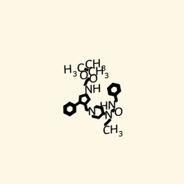 CCCN(C(=O)NCc1ccccc1)C1CCN(CC2CC(NCC(=O)OC(C)(C)C)CC2c2ccccc2)CC1